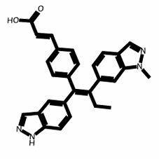 CC/C(=C(/c1ccc(/C=C/C(=O)O)cc1)c1ccc2[nH]ncc2c1)c1ccc2cnn(C)c2c1